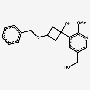 COc1ncc(CO)cc1C1(O)CC(OCc2ccccc2)C1